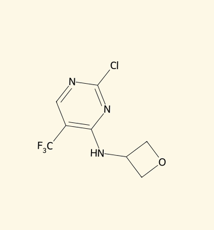 FC(F)(F)c1cnc(Cl)nc1NC1COC1